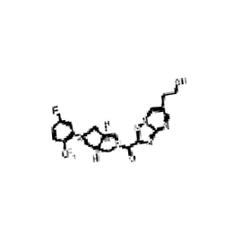 O=C(c1nc2ncc(CCO)cn2n1)N1C[C@H]2C[C@@H](c3cc(F)ccc3C(F)(F)F)C[C@H]2C1